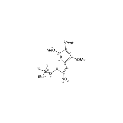 CCCCCc1cc(OC)c(/C=C(\CO[Si](C)(C)C(C)(C)C)[N+](=O)[O-])cc1OC